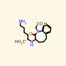 NCCCC[C@H](NC1CCCc2ccccc2N(CC(=O)O)C1=O)C(=O)O